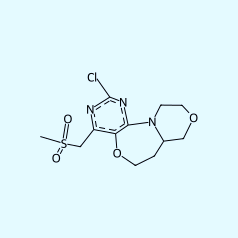 CS(=O)(=O)Cc1nc(Cl)nc2c1OCCC1COCCN21